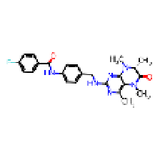 Cc1nc(NCc2ccc(NC(=O)c3ccc(F)cc3)cc2)nc2c1N(C)C(=O)[C@@H](C)N2C